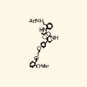 COc1ccccc1COCCCOc1ccc(C2CCNC[C@H]2OC(C)C(=O)Nc2ccccc2CCNC(C)=O)cc1